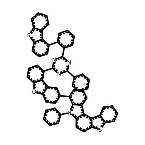 c1ccc(-c2nc(-c3ccccc3-c3cccc4sc5ccccc5c34)nc(-c3cccc4oc5ccc(-c6cccc7c8c9c(ccc8n(-c8ccccc8)c67)sc6ccccc69)cc5c34)n2)cc1